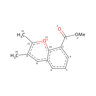 COC(=O)c1cccc2cc(C)c(C)[o+]c12